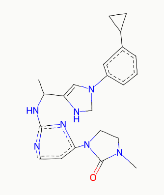 CC(Nc1nccc(N2CCN(C)C2=O)n1)C1=CN(c2cccc(C3CC3)c2)CN1